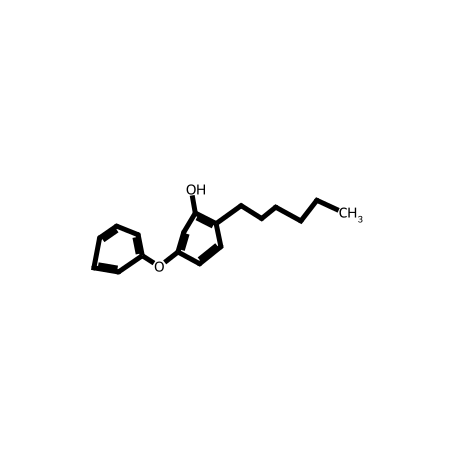 CCCCCCc1ccc(Oc2ccccc2)cc1O